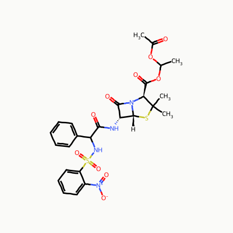 CC(=O)OC(C)OC(=O)[C@@H]1N2C(=O)[C@@H](NC(=O)C(NS(=O)(=O)c3ccccc3[N+](=O)[O-])c3ccccc3)[C@H]2SC1(C)C